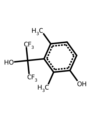 Cc1ccc(O)c(C)c1C(O)(C(F)(F)F)C(F)(F)F